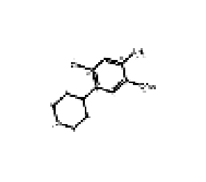 COc1cc(C2CCOCC2)c(Cl)cc1N